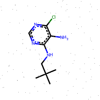 CC(C)(C)CNc1ncnc(Cl)c1N